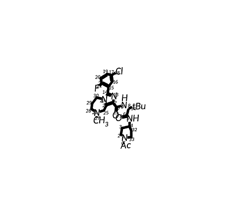 CC(=O)N1CCC(NC(=O)C(NC(=O)c2nc(-c3cc(Cl)ccc3F)n3c2CN(C)CCC3)C(C)(C)C)CC1